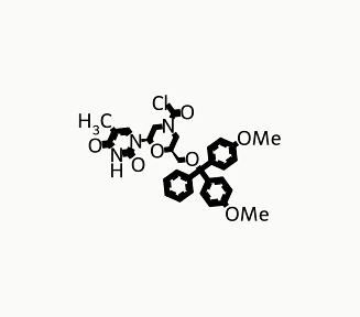 COc1ccc(C(OC[C@@H]2CN(C(=O)Cl)C[C@H](n3cc(C)c(=O)[nH]c3=O)O2)(c2ccccc2)c2ccc(OC)cc2)cc1